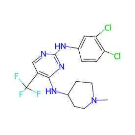 CN1CCC(Nc2nc(Nc3ccc(Cl)c(Cl)c3)ncc2C(F)(F)F)CC1